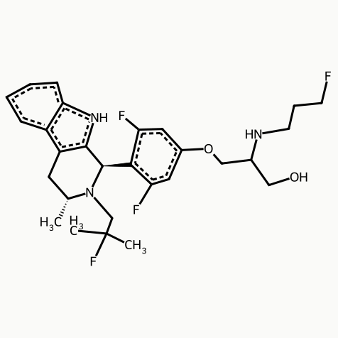 C[C@@H]1Cc2c([nH]c3ccccc23)[C@@H](c2c(F)cc(OCC(CO)NCCCF)cc2F)N1CC(C)(C)F